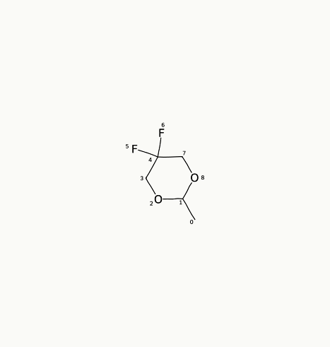 CC1OCC(F)(F)CO1